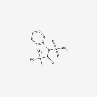 CC(O)(C(=O)N(c1ccccc1)S(N)(=O)=O)C(F)(F)F